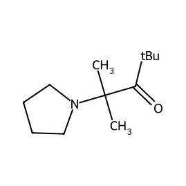 CC(C)(C)C(=O)C(C)(C)N1CCCC1